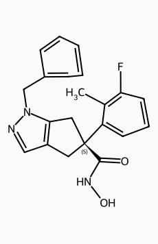 Cc1c(F)cccc1[C@]1(C(=O)NO)Cc2cnn(Cc3ccccc3)c2C1